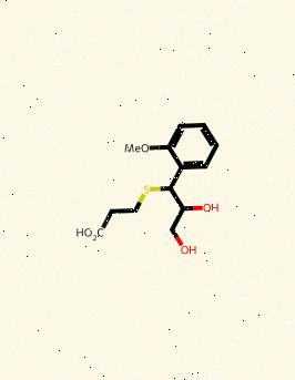 COc1ccccc1C(SCCC(=O)O)C(O)CO